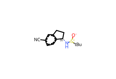 CC(C)(C)[S+]([O-])N[C@H]1CCc2cc(C#N)ccc21